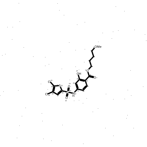 COCCCCOC(=O)c1ccc(NS(=O)(=O)c2cc(Cl)c(Cl)s2)cc1O